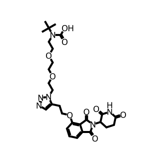 CC(C)(C)N(CCOCCOCCn1nncc1CCOc1cccc2c1C(=O)N(C1CCC(=O)NC1=O)C2=O)C(=O)O